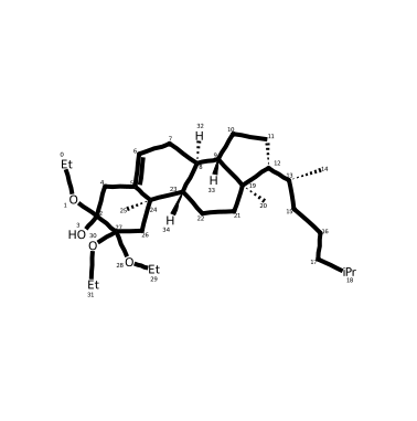 CCOC1(O)CC2=CC[C@H]3[C@@H]4CC[C@H]([C@H](C)CCCC(C)C)[C@@]4(C)CC[C@@H]3[C@@]2(C)CC1(OCC)OCC